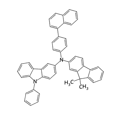 CC1(C)c2ccccc2-c2ccc(N(c3ccc(-c4cccc5ccccc45)cc3)c3ccc4c(c3)c3ccccc3n4-c3ccccc3)cc21